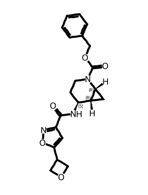 O=C(N[C@H]1CCN(C(=O)OCc2ccccc2)[C@@H]2C[C@H]12)c1cc(C2COC2)on1